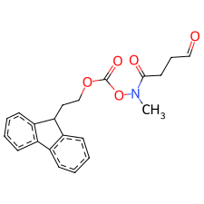 CN(OC(=O)OCCC1c2ccccc2-c2ccccc21)C(=O)CCC=O